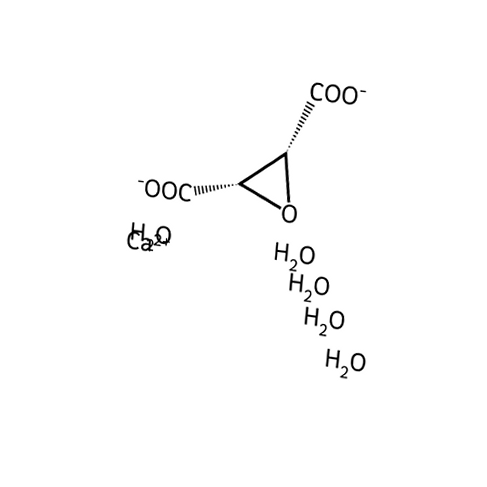 O.O.O.O.O.O=C([O-])[C@H]1O[C@H]1C(=O)[O-].[Ca+2]